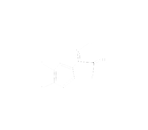 C=C(F)/C(=N\C)c1ccc(F)c(F)c1